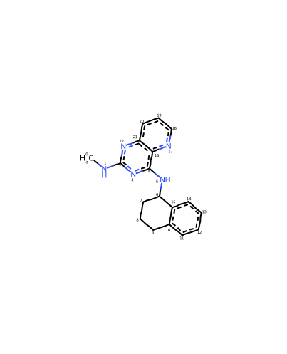 CNc1nc(NC2CCCc3ccccc32)c2ncccc2n1